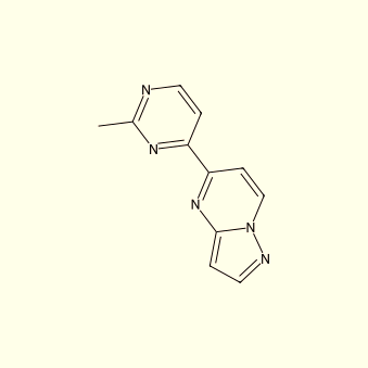 Cc1nccc(-c2ccn3nccc3n2)n1